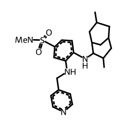 CNS(=O)(=O)c1ccc(NC2C(C)CC3CC(C)CC2C3)c(NCc2ccncc2)c1